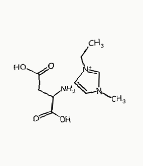 CC[n+]1ccn(C)c1.NC(CC(=O)O)C(=O)O